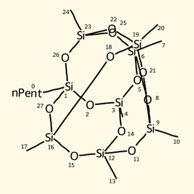 CCCCC[Si]12O[Si]3(C)O[Si]4(C)O[Si]5(C)O[Si](C)(O3)O[Si](C)(O[Si](C)(O5)O[Si](C)(O4)O1)O2